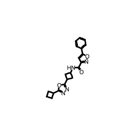 O=C(NC1CC(c2nnc(C3CCC3)o2)C1)c1cc(-c2ccccc2)on1